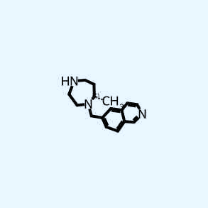 C[C@H]1CCNCCN1Cc1ccc2cnccc2c1